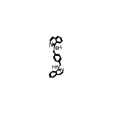 c1ccc2c(NCc3ccc(CNc4nccc5ccccc45)cc3)nccc2c1